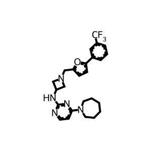 FC(F)(F)c1cccc(-c2ccc(CN3CC(Nc4nccc(N5CCCCCC5)n4)C3)o2)c1